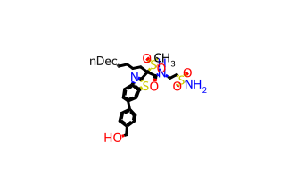 CCCCCCCCCCCCCCC(C(=O)NCCS(N)(=O)=O)(c1nc2ccc(-c3ccc(CO)cc3)cc2s1)S(C)(=O)=O